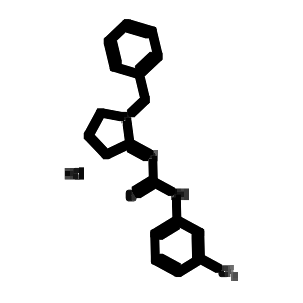 Cl.O=C(N=C1CCCN1Cc1ccccc1)Nc1cccc(C(F)(F)F)c1